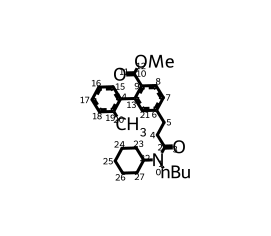 CCCCN(C(=O)CCc1ccc(C(=O)OC)c(-c2ccccc2C)c1)C1CCCCC1